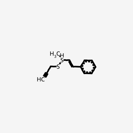 C#CCS[SH](C)/C=C/c1ccccc1